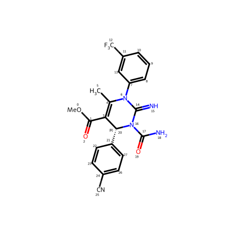 COC(=O)C1=C(C)N(c2cccc(C(F)(F)F)c2)C(=N)N(C(N)=O)[C@@H]1c1ccc(C#N)cc1